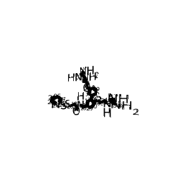 N=C(N)NCCOc1cccc(-c2cc(CNC(=O)CCSSc3ccccn3)ccc2OCCNC(=N)N)c1